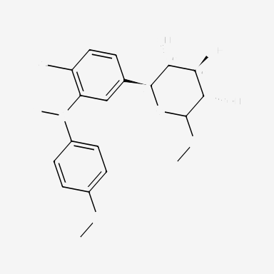 COc1ccc([S+]([O-])c2cc([C@@H]3OC(OC)[C@@H](O)[C@H](O)[C@H]3O)ccc2Cl)cc1